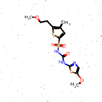 COCCc1sc(S(=O)(=O)NC(=O)Nc2ncc(OC)s2)cc1C